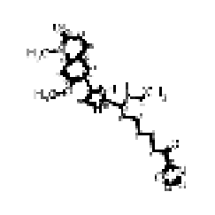 CCN[C@@H](CCCCCC(=O)c1ncco1)c1ncc(-c2cc3ccc(=O)n(C)c3cc2OC)[nH]1